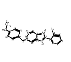 Fc1ccccc1-c1nc2cnn(Cc3ccc(OC(F)(F)F)cc3)cc-2n1